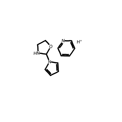 [H+].c1ccn(C2NCCO2)c1.c1ccncc1